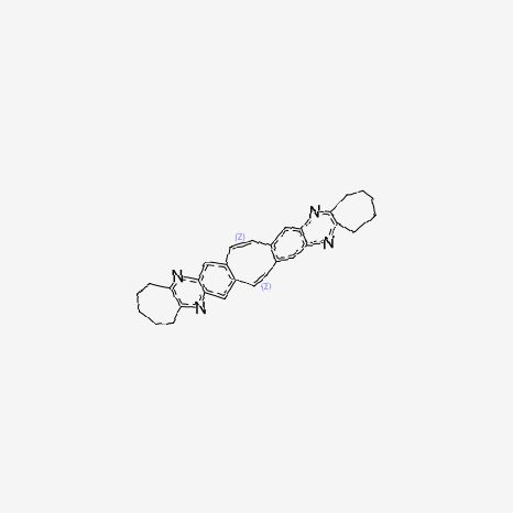 C1=C\c2cc3nc4c(nc3cc2/C=C\c2cc3nc5c(nc3cc2/1)CCCCC5)CCCCC4